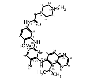 COc1ccc(NC(=O)CN2CCN(C)CC2)cc1Nc1ncc(Br)c(Nc2ccc3nccnc3c2P(C)C)n1